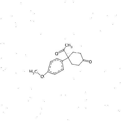 COc1ccc(C2(C(C)=O)CCC(=O)CC2)cc1